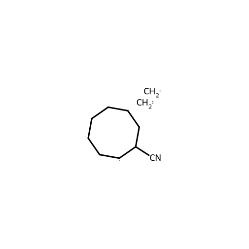 N#CC1[CH]CCCCCC1.[CH2].[CH2]